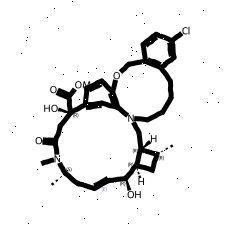 COC(=O)[C@@]1(O)CC(=O)N(C)[C@@H](C)C/C=C/[C@H](O)[C@@H]2C[C@@H](C)[C@H]2CN2CCCCc3cc(Cl)ccc3COc3ccc1cc32